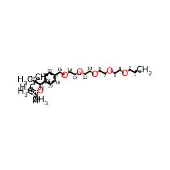 C=CCOCCOCCOCCOCCOCc1ccc(C(O[SiH](C)C)C(C)(C)C)cc1